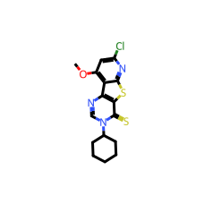 COc1cc(Cl)nc2sc3c(=S)n(C4CCCCC4)cnc3c12